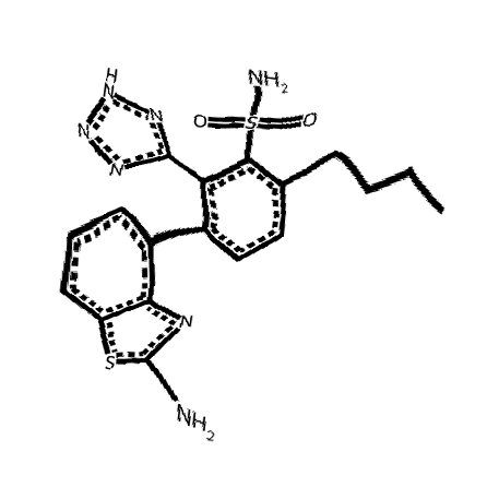 CCCCc1ccc(-c2cccc3sc(N)nc23)c(-c2nn[nH]n2)c1S(N)(=O)=O